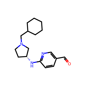 O=Cc1ccc(N[C@@H]2CCN(CC3CCCCC3)C2)nc1